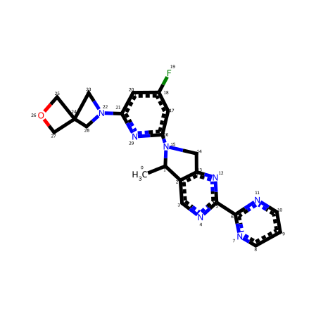 CC1c2cnc(-c3ncccn3)nc2CN1c1cc(F)cc(N2CC3(COC3)C2)n1